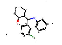 O=C1CCCCC1C(Nc1ccccc1)c1cccc(Br)c1